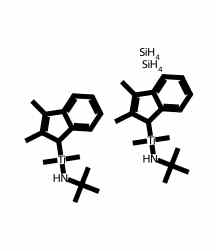 CC1=C(C)[CH]([Ti]([CH3])([CH3])[NH]C(C)(C)C)c2ccccc21.CC1=C(C)[CH]([Ti]([CH3])([CH3])[NH]C(C)(C)C)c2ccccc21.[SiH4].[SiH4]